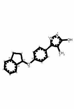 Cc1c(O)noc1-c1ccc(OC2CCc3ccccc32)cc1